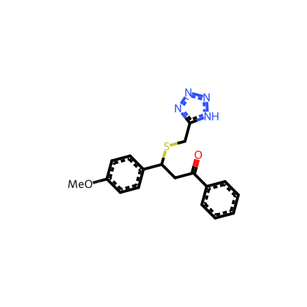 COc1ccc(C(CC(=O)c2ccccc2)SCc2nnn[nH]2)cc1